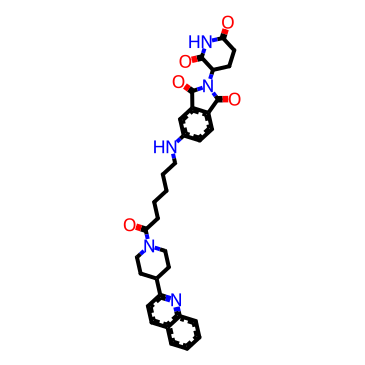 O=C1CCC(N2C(=O)c3ccc(NCCCCCC(=O)N4CCC(c5ccc6ccccc6n5)CC4)cc3C2=O)C(=O)N1